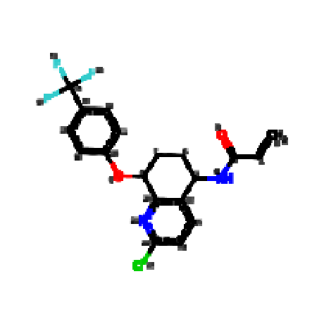 C=CC(=O)NC1CCC(Oc2ccc(C(F)(F)F)cc2)c2nc(Cl)ccc21